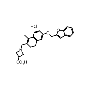 CC1=C(CN2CC(C(=O)O)C2)CCc2cc(OCc3cc4ccccc4o3)ccc21.Cl